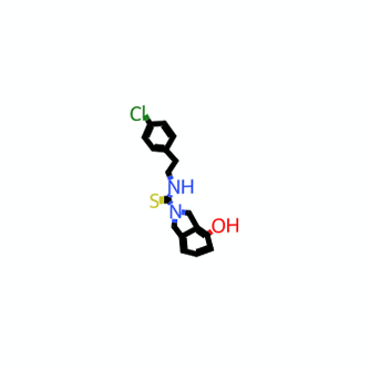 Oc1cccc2c1CN(C(=S)NCCc1ccc(Cl)cc1)C2